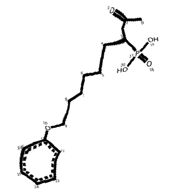 CC(=O)C(CCCCCCOc1ccccc1)P(=O)(O)O